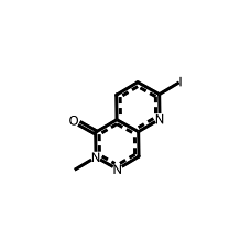 Cn1ncc2nc(I)ccc2c1=O